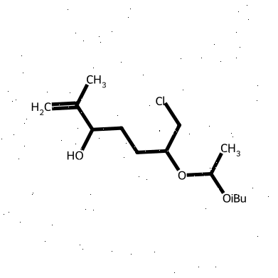 C=C(C)C(O)CCC(CCl)OC(C)OCC(C)C